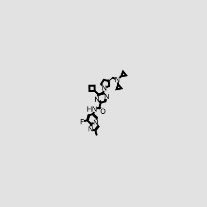 Cc1cn2cc(NC(=O)c3cnc(N4CC[C@@H](CN(C5CC5)C5CC5)C4)c(C4CCC4)n3)cc(F)c2n1